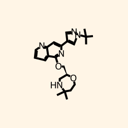 CC1(C)CCO[C@H](COc2nc(-c3cnn(C(C)(C)C)c3)cc3ncccc23)CN1